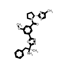 COc1cc(C(=O)N2CCC[C@@H]2c2nc(C)cs2)cc(-c2nnc([C@@](C)(N)Cc3ccccc3)o2)c1